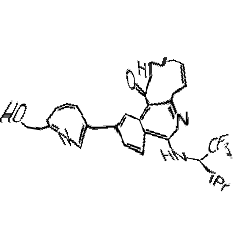 CC(C)[C@@H](Nc1nc2cc[nH]c(=O)c2c2cc(-c3ccc(CO)nc3)ccc12)C(F)(F)F